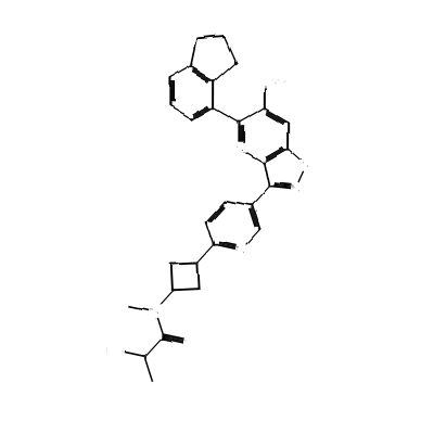 COc1cc2[nH]nc(-c3ccc(C4CC(N(C)C(=O)C(C)O)C4)nc3)c2nc1-c1cccc2c1CCC2